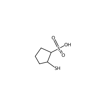 O=S(=O)(O)C1CCCC1S